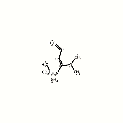 C=CN=C(N)N(C)C.CC(=O)O.[SiH4]